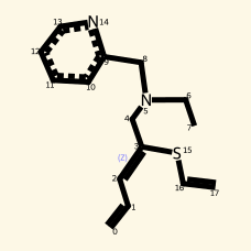 C=C/C=C(/CN(CC)Cc1ccccn1)SC=C